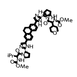 COC(=O)NC(C(=O)N1CCC[C@H]1c1ncc(-c2ccc3c(c2)CCc2cc(-c4cnc([C@@H]5[C@H]6CC[C@H](C6)N5C(=O)[C@@H](NC(=O)OC)C5CCOCC5)[nH]4)ccc2-3)[nH]1)C(C)C